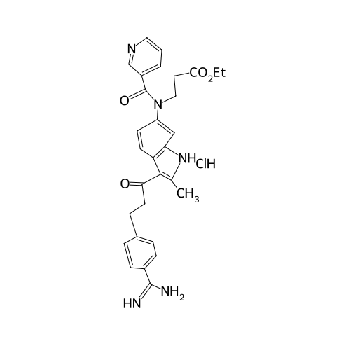 CCOC(=O)CCN(C(=O)c1cccnc1)c1ccc2c(C(=O)CCc3ccc(C(=N)N)cc3)c(C)[nH]c2c1.Cl